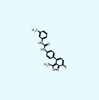 Cc1cccc(NC(=O)Nc2ccc(-c3ccc(F)c4noc(N)c34)cc2)c1